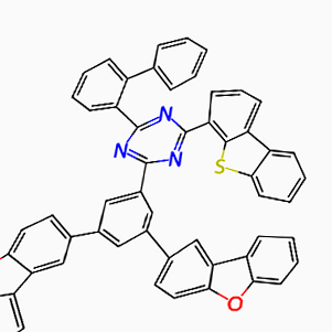 c1ccc(-c2ccccc2-c2nc(-c3cc(-c4ccc5oc6ccccc6c5c4)cc(-c4ccc5oc6ccccc6c5c4)c3)nc(-c3cccc4c3sc3ccccc34)n2)cc1